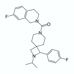 CC(C)N1CC2(CCN(C(=O)N3CCc4ccc(F)cc4C3)CC2)C1c1ccc(F)cc1